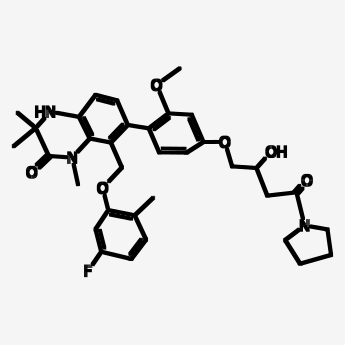 COc1cc(OCC(O)CC(=O)N2CCCC2)ccc1-c1ccc2c(c1COc1cc(F)ccc1C)N(C)C(=O)C(C)(C)N2